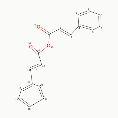 O=C(C=Cc1ccccc1)OC(=O)/C=C/c1ccccc1